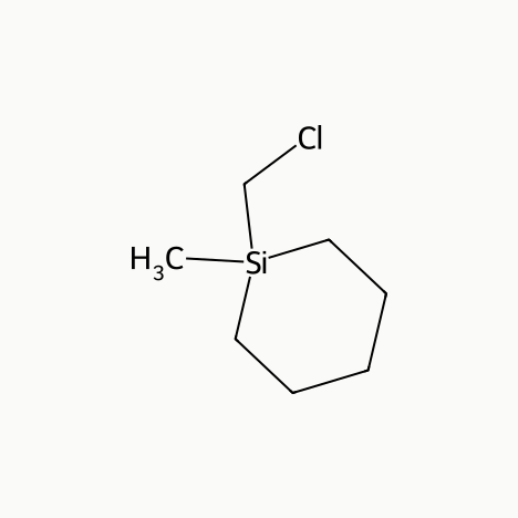 C[Si]1(CCl)CCCCC1